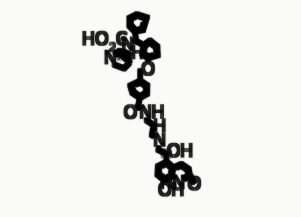 O=C(NCCCNC[C@@H](O)c1ccc(O)c2[nH]c(=O)ccc12)c1ccc(COc2cccc(C(c3ccccc3)N(C(=O)O)[C@H]3CN4CCC3CC4)c2)cc1